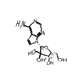 Nc1ncnc2c1ccn2[C@@H]1O[C@H](CO)[C@@H](O)C1(O)O